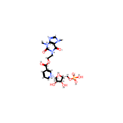 Cn1cnc2c1c(=O)n(CCOC(=O)c1ccc[n+]([C@@H]3O[C@H](COP(=O)([O-])O)[C@@H](O)[C@H]3O)c1)c(=O)n2C